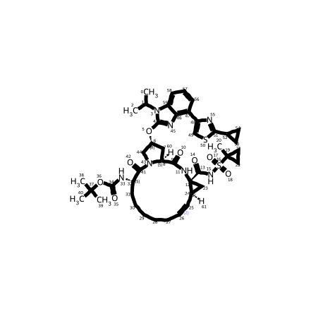 CC(C)n1c(O[C@@H]2C[C@H]3C(=O)N[C@]4(C(=O)NS(=O)(=O)C5(C)CC5)C[C@H]4/C=C\CCCCC[C@H](NC(=O)OC(C)(C)C)C(=O)N3C2)nc2c(-c3csc(C4CC4)n3)cccc21